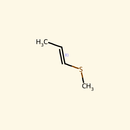 C/C=C/SC